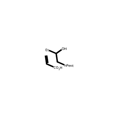 C=CC(=O)O.CCCCCCC(O)CC